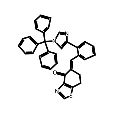 O=C1C(=Cc2ccccc2-c2cn(C(c3ccccc3)(c3ccccc3)c3ccccc3)cn2)CCc2scnc21